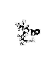 CCC(C)[C@H](NC(C)=O)C(=O)N[C@H](C(=O)N[C@@H](Cc1c[nH]c2ccccc12)C(=O)N[C@@H](CS)C(N)=O)C(C)CC